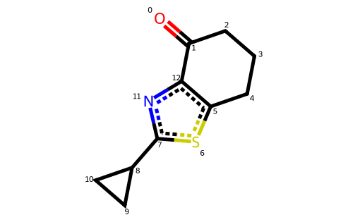 O=C1CCCc2sc(C3CC3)nc21